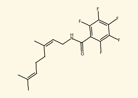 CC(C)=CCCC(C)=CCNC(=O)c1c(F)c(F)c(F)c(F)c1F